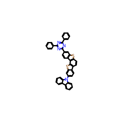 c1ccc(-c2nc(-c3ccccc3)nc(-c3ccc4c(c3)sc3ccc5c6ccc(-n7c8ccccc8c8ccccc87)cc6sc5c34)n2)cc1